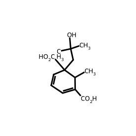 CC1C(C(=O)O)=CC=CC1(CC(C)(C)O)C(=O)O